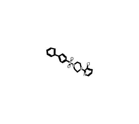 O=S(=O)(c1ccc(-c2ccccc2)cc1)N1CCN(c2ncccc2Cl)CC1